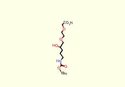 CC(C)(C)OC(=O)NCCCC(O)COCCOCC(=O)O